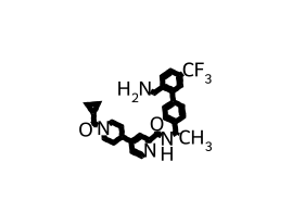 C[C@@H](NC(=O)c1cc(C2CCN(C(=O)C3CC3)CC2)ccn1)c1ccc(-c2cc(C(F)(F)F)ccc2CN)cc1